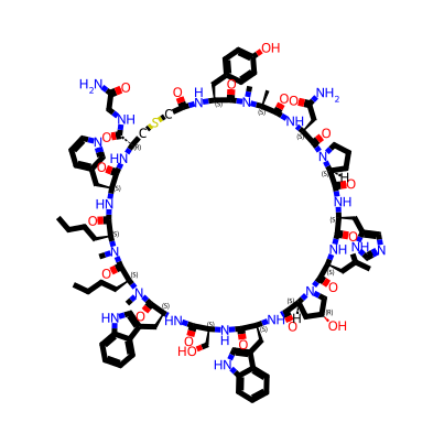 CCCC[C@H]1C(=O)N(C)[C@@H](CCCC)C(=O)N[C@@H](Cc2cccnc2)C(=O)N[C@H](C(=O)NCC(N)=O)CSCC(=O)N[C@@H](Cc2ccc(O)cc2)C(=O)N(C)[C@@H](C)C(=O)N[C@@H](CC(N)=O)C(=O)N2CCC[C@H]2C(=O)N[C@@H](Cc2cnc[nH]2)C(=O)N[C@@H](CC(C)C)C(=O)N2C[C@H](O)C[C@H]2C(=O)N[C@@H](Cc2c[nH]c3ccccc23)C(=O)N[C@@H](CO)C(=O)N[C@@H](Cc2c[nH]c3ccccc23)C(=O)N1C